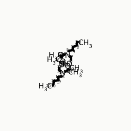 CCCCCCN1CC[O][Sn]2([O]CCN(CCCCCC)CC(C)(C)[O]2)[O]C(C)(C)C1